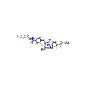 CCCCOC(=O)c1ccc(NC(=O)N(Cc2ccc(C(=O)NCCC(=O)O)cc2)CC(CC)CCCC)cc1